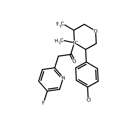 C[N+]1(C(=O)Cc2ccc(F)cn2)C(c2ccc(Cl)cc2)COCC1C(F)(F)F